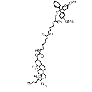 COc1ccc(C(OCCC(O)CCCCCNC(=O)CCCCCNC(=O)OC2CC[C@@]3(C)C(=CCC4C3CC[C@@]3(C)C4CC[C@@H]3[C@H](C)CCCC(C)C)C2)(c2ccccc2)c2ccc(OC)cc2)cc1